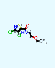 O=C(NCCOCC(F)(F)F)c1snc(Cl)c1Cl